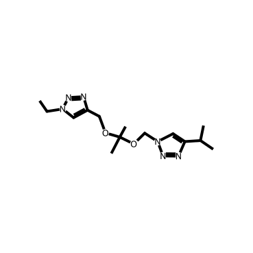 CCn1cc(COC(C)(C)OCn2cc(C(C)C)nn2)nn1